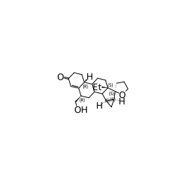 CC[C@]12CCC3C(C[C@@H](CO)C4=CC(=O)CC[C@@H]43)C1[C@@H]1C[C@@H]1[C@@]21CCCO1